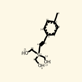 Cc1ccc(C#C[Si](CO)(CO)CO)cc1